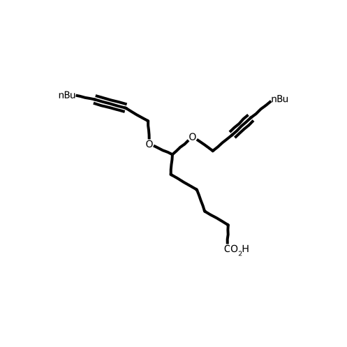 CCCCC#CCOC(CCCCC(=O)O)OCC#CCCCC